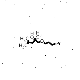 C=C(C)CC(C)(O)COCCCC(C)C